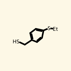 CCSc1ccc(CS)cc1